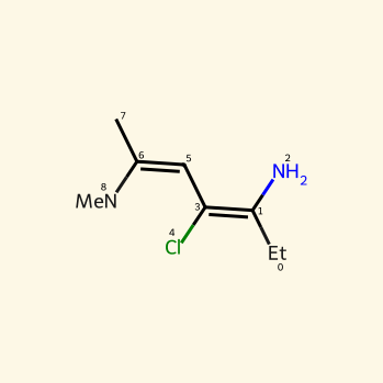 CC/C(N)=C(Cl)/C=C(/C)NC